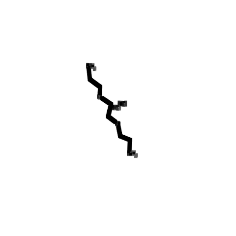 Cl.Cl.NCCOCCOCCN